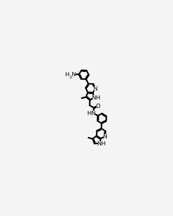 Cc1c[nH]c2ncc(-c3cccc(NC(=O)Cc4[nH]c5ncc(-c6cccc(N)c6)cc5c4C)c3)cc12